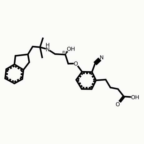 CC(C)(CC1Cc2ccccc2C1)NC[C@@H](O)COc1cccc(CCCC(=O)O)c1C#N